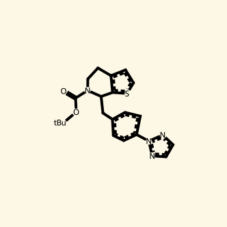 CC(C)(C)OC(=O)N1CCc2ccsc2C1Cc1ccc(-n2nccn2)cc1